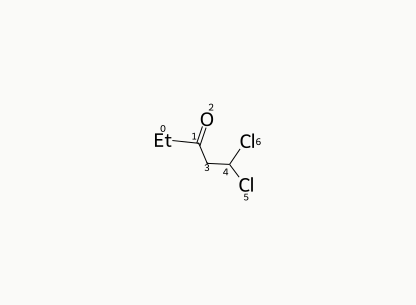 CCC(=O)CC(Cl)Cl